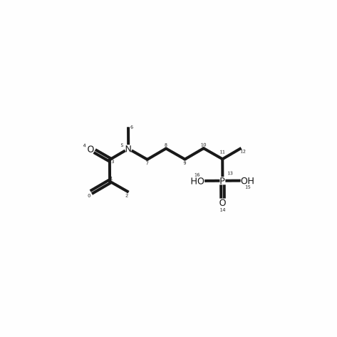 C=C(C)C(=O)N(C)CCCCC(C)P(=O)(O)O